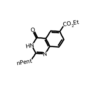 CCCCCc1nc2ccc(C(=O)OCC)cc2c(=O)[nH]1